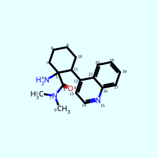 CN(C)C(=O)C1(N)CCCCC1c1ccnc2ccccc12